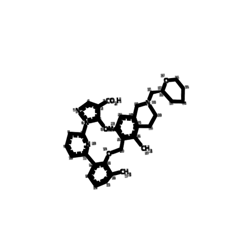 COc1c(C(=O)O)cnn1-c1cccc(-c2cccc(C)c2OCc2ccc3c(c2C)CCN(C[C@@H]2CCCCO2)C3)n1